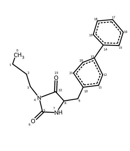 CCCCN1C(=O)NC(Cc2ccc(-c3ccccc3)cc2)C1=O